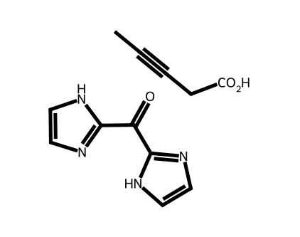 CC#CCC(=O)O.O=C(c1ncc[nH]1)c1ncc[nH]1